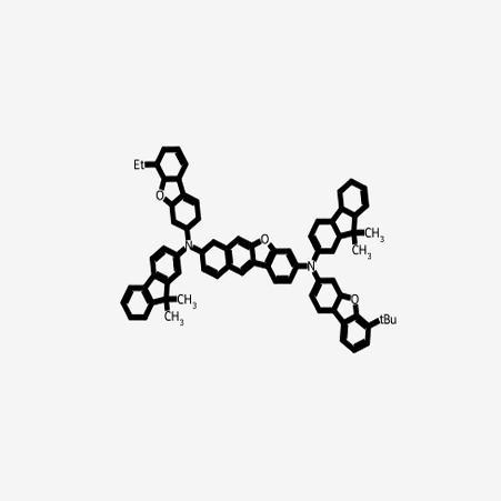 CCC1CC=CC2C3=CCC(N(c4ccc5c(c4)C(C)(C)C4=C5C=CCC4)C4C=Cc5cc6c(cc5C4)oc4cc(N(C5=CCC7c8cccc(C(C)(C)C)c8OC7C5)C5=CCC7C8CCC=CC8C(C)(C)C7C5)ccc46)CC3OC12